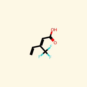 C=CC(=CC(=O)O)C(F)(F)F